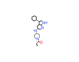 C=CC(=O)N1CCC(N(C)c2cnc3[nH]cc(-c4ccccc4)c3c2)CC1